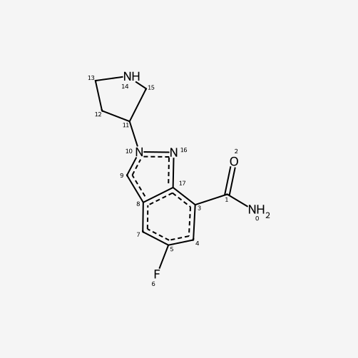 NC(=O)c1cc(F)cc2cn(C3CCNC3)nc12